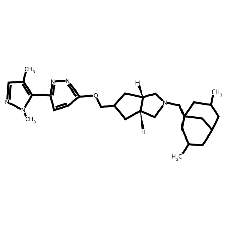 Cc1cnn(C)c1-c1ccc(OCC2C[C@@H]3CN(CC45CC(C)CC(CC(C)C4)C5)C[C@@H]3C2)nn1